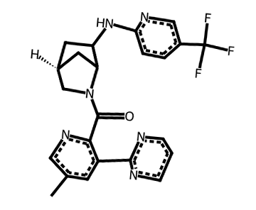 Cc1cnc(C(=O)N2C[C@H]3CC(Nc4ccc(C(F)(F)F)cn4)C2C3)c(-c2ncccn2)c1